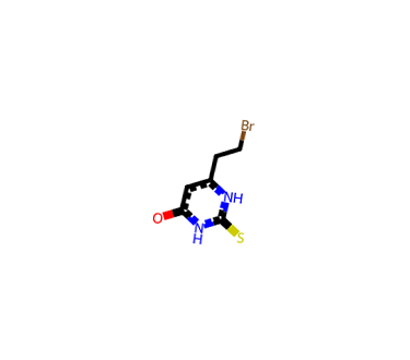 O=c1cc(CCBr)[nH]c(=S)[nH]1